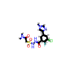 CN(C)C(=O)CS(=O)(=O)NNC(=O)c1cc(-c2cn(C)cn2)cc(Cl)c1F